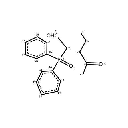 CCCC(C)=O.O=CCP(=O)(c1ccccc1)c1ccccc1